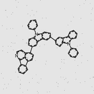 c1ccc(-n2c3ccccc3c3cc(-c4ccc5c(c4)c4cc(-c6ccc7c8c(nccc68)-c6ccccc6-7)ccc4n5-c4ccccc4)ccc32)cc1